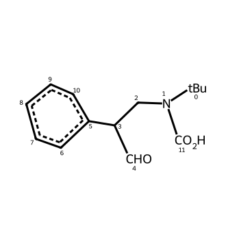 CC(C)(C)N(CC(C=O)c1ccccc1)C(=O)O